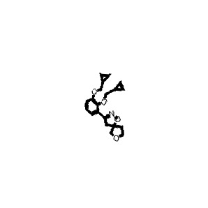 c1cc(OCC2CC2)c(OCC2CC2)c(C2=NOC3(CCOC3)C2)c1